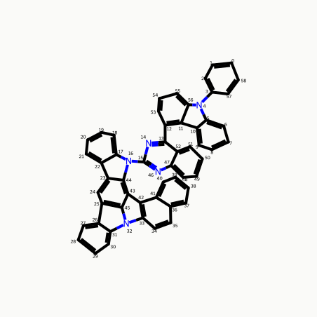 c1ccc(-n2c3ccccc3c3c(-c4nc(-n5c6ccccc6c6cc7c8ccccc8n8c9ccc%10ccccc%10c9c(c65)c78)nc5ccccc45)cccc32)cc1